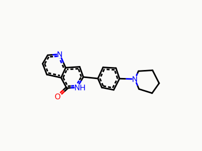 O=c1[nH]c(-c2ccc(N3CCCCC3)cc2)cc2ncccc12